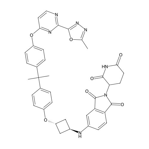 Cc1nnc(-c2nccc(Oc3ccc(C(C)(C)c4ccc(O[C@H]5C[C@H](Nc6ccc7c(c6)C(=O)N(C6CCC(=O)NC6=O)C7=O)C5)cc4)cc3)n2)o1